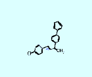 C=C(/C=C/c1ccc(Cl)cc1)c1ccc(-c2ccccc2)cc1